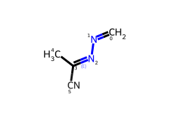 C=N/N=C(\C)C#N